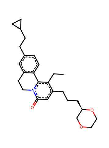 CCc1c(CCC[C@@H]2COCCO2)cc(=O)n2c1-c1ccc(CCC3CC3)cc1CC2